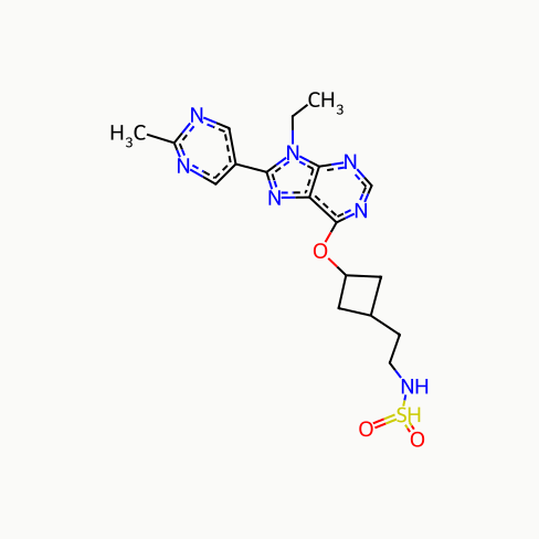 CCn1c(-c2cnc(C)nc2)nc2c(OC3CC(CCN[SH](=O)=O)C3)ncnc21